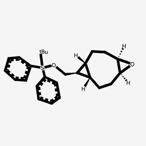 CC(C)(C)[Si](OC[C@H]1[C@@H]2CC[C@H]3O[C@H]3CC[C@@H]21)(c1ccccc1)c1ccccc1